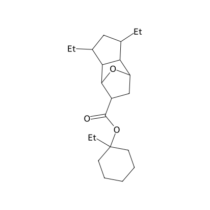 CCC1CC(CC)C2C3OC(CC3C(=O)OC3(CC)CCCCC3)C12